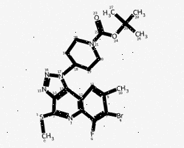 CSc1nc2c(F)c(Br)c(C)cc2c2c1nnn2C1CCN(C(=O)OC(C)(C)C)CC1